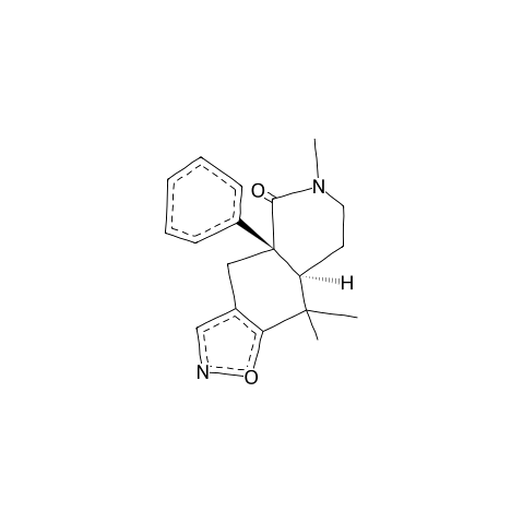 CN1CC[C@H]2C(C)(C)c3oncc3C[C@]2(c2ccccc2)C1=O